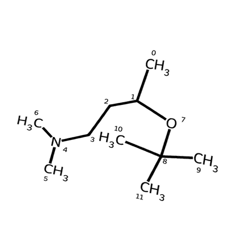 CC(CCN(C)C)OC(C)(C)C